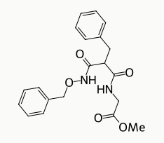 COC(=O)CNC(=O)C(Cc1ccccc1)C(=O)NOCc1ccccc1